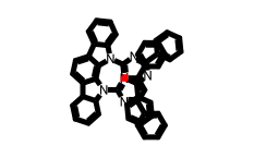 C1=CC2c3ccc4c5ccccc5n(-c5nc(-c6ccccc6)nc(-c6ccccc6)n5)c4c3N(c3nc(-c4ccccc4)cc(-c4ccccc4)n3)C2C=C1